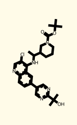 CC(Nc1c(Cl)cnc2ccc(-c3cnc(C(C)(C)O)nc3)cc12)C1CCCN(C(=O)OC(C)(C)C)C1